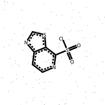 O=S(=O)(Cl)c1nccc2ncsc12